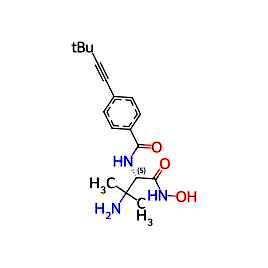 CC(C)(C)C#Cc1ccc(C(=O)N[C@H](C(=O)NO)C(C)(C)N)cc1